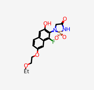 CCOCCOc1ccc2cc(O)c(N3CC(=O)NS3(=O)=O)c(F)c2c1